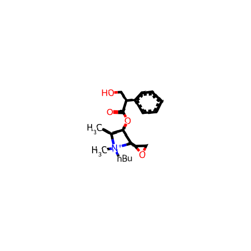 CCCC[N+]1(C)C(C)C(OC(=O)C(CO)c2ccccc2)C1C1CO1